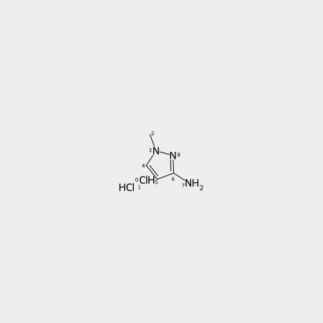 Cl.Cl.Cn1ccc(N)n1